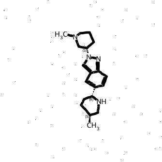 C[C@H]1CC[C@H](c2ccc3nn([C@H]4CCCN(C)C4)cc3c2)NC1